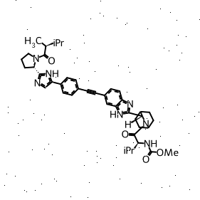 COC(=O)N[C@H](C(=O)N1C2CCC(CC2)[C@H]1c1nc2ccc(C#Cc3ccc(-c4cnc([C@@H]5CCCN5C(=O)[C@@H](C)C(C)C)[nH]4)cc3)cc2[nH]1)C(C)C